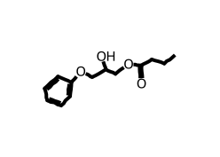 CCCC(=O)OCC(O)COc1ccccc1